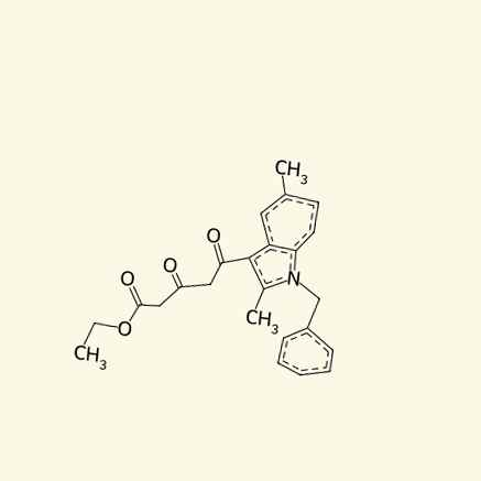 CCOC(=O)CC(=O)CC(=O)c1c(C)n(Cc2ccccc2)c2ccc(C)cc12